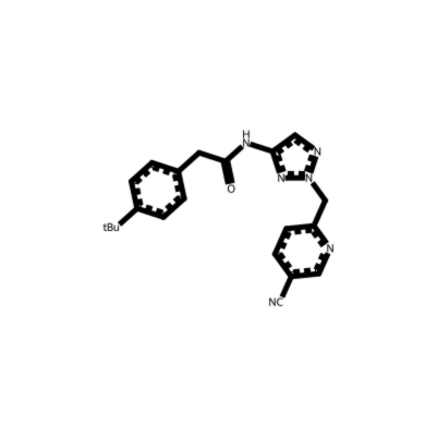 CC(C)(C)c1ccc(CC(=O)Nc2cnn(Cc3ccc(C#N)cn3)n2)cc1